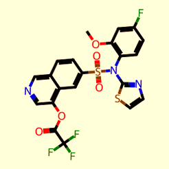 COc1cc(F)ccc1N(c1nccs1)S(=O)(=O)c1ccc2cncc(OC(=O)C(F)(F)F)c2c1